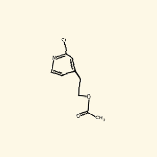 CC(=O)OCCc1ccnc(Cl)c1